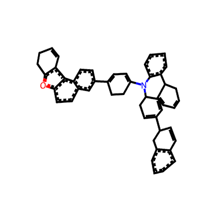 C1=CCC(c2ccccc2N(C2=CC=C(c3ccc4c(ccc5oc6c(c54)C=CCC6)c3)CC2)C2C=CC(C3C=Cc4ccccc4C3)=CC2)C=C1